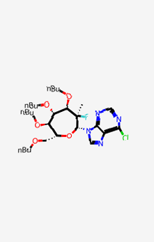 CCCCOC[C@H]1O[C@@H](n2cnc3c(Cl)ncnc32)[C@](C)(F)[C@H](OCCCC)[C@@H](OCCCC)[C@@H]1OCCCC